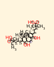 CC1(C)C=C(/C=C\C2=CC(C)(C)C=C(CCCC(C)(C)C(=O)O)C2O)C(O)C(CCCC(C)(C)C(=O)O)=C1